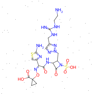 N=C(NCCN)NCc1cnn(CC2C(NC(=O)/C(=N\OC3(C(=O)O)CC3)c3csc(N)n3)C(=O)N2S(=O)(=O)O)n1